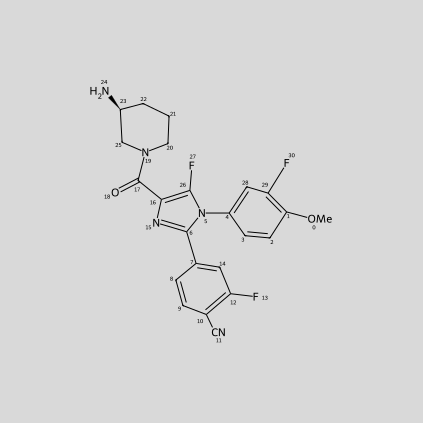 COc1ccc(-n2c(-c3ccc(C#N)c(F)c3)nc(C(=O)N3CCC[C@H](N)C3)c2F)cc1F